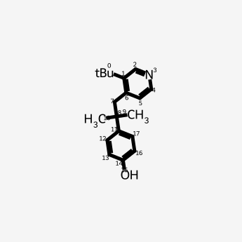 CC(C)(C)c1cnccc1CC(C)(C)c1ccc(O)cc1